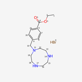 Br.CCOC(=O)c1ccc(CN2CCNCCNCC2)cc1